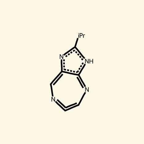 CC(C)c1nc2c([nH]1)=NC=C=NC=2